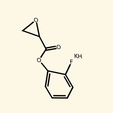 O=C(Oc1ccccc1F)C1CO1.[KH]